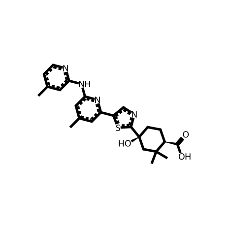 Cc1ccnc(Nc2cc(C)cc(-c3cnc([C@]4(O)CC[C@@H](C(=O)O)C(C)(C)C4)s3)n2)c1